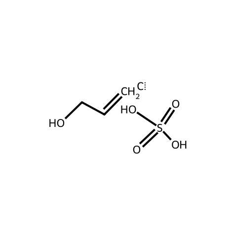 C=CCO.O=S(=O)(O)O.[C]